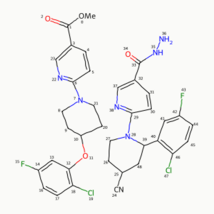 COC(=O)c1ccc(N2CCC(Oc3cc(F)ccc3Cl)CC2)nc1.N#CC1CCN(c2ccc(C(=O)NN)cn2)C(c2cc(F)ccc2Cl)C1